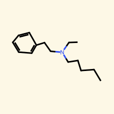 CCCCCN(CC)CCc1ccccc1